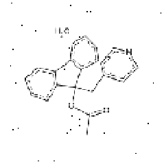 CC(=O)OC1(Cc2ccncc2)c2ccccc2-c2ccccc21.O